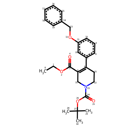 CCOC(=O)C1=C(c2cccc(OCc3ccccc3)c2)CCN(C(=O)OC(C)(C)C)C1